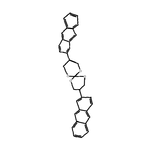 c1ccc2cc3cc(C4COC5(OC4)OCC(c4ccc6cc7ccccc7cc6c4)CO5)ccc3cc2c1